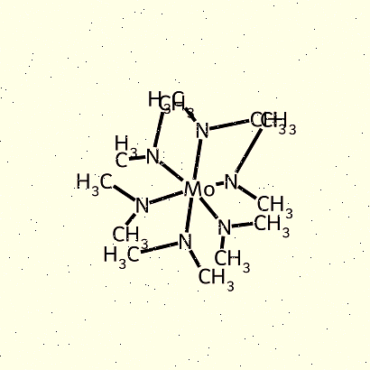 C[N](C)[Mo]([N](C)C)([N](C)C)([N](C)C)([N](C)C)[N](C)C